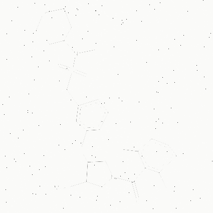 COC1CN(C(=O)c2c(C)cccc2C)CC1Oc1cccc(CS(=O)(=O)N(C)C2CCOCC2)c1